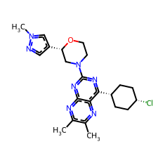 Cc1nc2nc(N3CCO[C@@H](c4cnn(C)c4)C3)nc([C@H]3CC[C@@H](Cl)CC3)c2nc1C